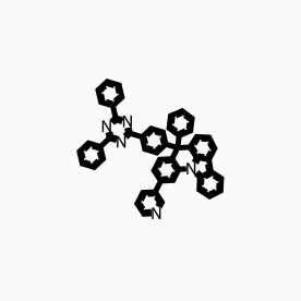 c1ccc(-c2nc(-c3ccccc3)nc(-c3ccc(C4(c5ccccc5)c5ccc(-c6cccnc6)cc5-n5c6ccccc6c6cccc4c65)cc3)n2)cc1